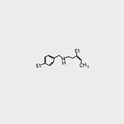 C/C=C(/CC)CCNCc1ccc(CC)cc1